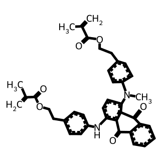 C=C(C)C(=O)OCCc1ccc(Nc2ccc(N(C)c3ccc(CCOC(=O)C(=C)C)cc3)c3c2C(=O)c2ccccc2C3=O)cc1